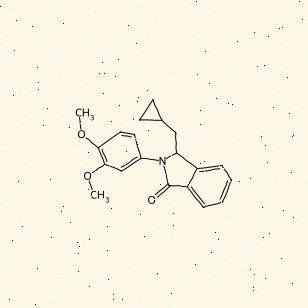 COc1ccc(N2C(=O)c3ccccc3C2CC2CC2)cc1OC